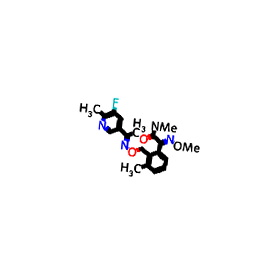 CNC(=O)/C(=N/OC)c1cccc(C)c1CO/N=C(\C)c1cnc(C)c(F)c1